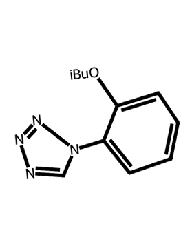 CC(C)COc1ccccc1-n1cnnn1